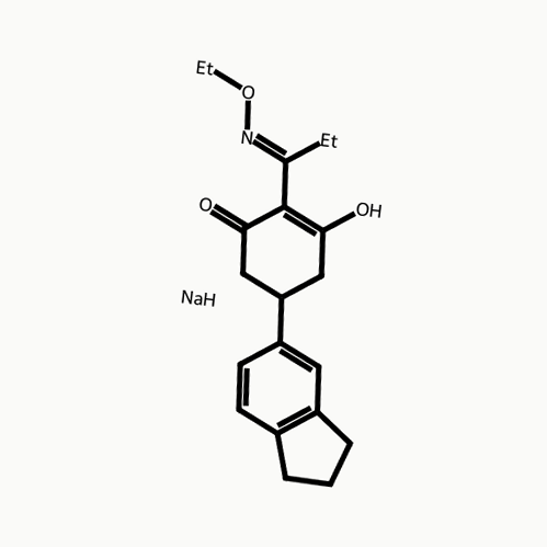 CCON=C(CC)C1=C(O)CC(c2ccc3c(c2)CCC3)CC1=O.[NaH]